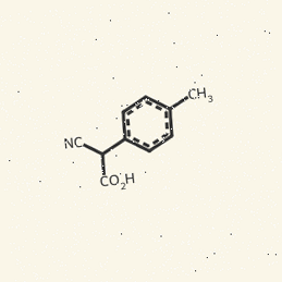 Cc1ccc(C(C#N)C(=O)O)cc1